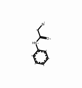 O=C(CBr)Nc1c[c]ccc1